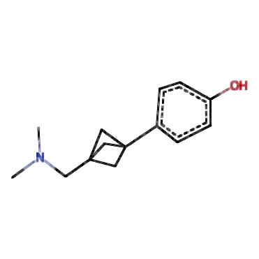 CN(C)CC12CC(c3ccc(O)cc3)(C1)C2